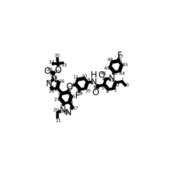 CCc1ccc(C(=O)Nc2ccc(Oc3cc4cnn(CC)c4cc3-c3cnn(C(=O)OC(C)(C)C)c3)c(F)c2)c(=O)n1-c1ccc(F)cc1